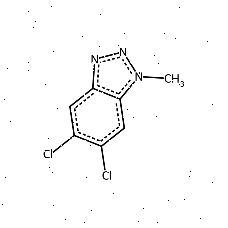 Cn1nnc2cc(Cl)c(Cl)cc21